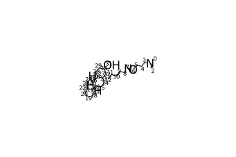 CN(C)CCCO/N=C/C=C/C=C/[C@]12CC[C@H]3[C@@H]4CCC[C@@]4(C)CC[C@@H]3[C@@]1(C)CC[C@H](O)C2